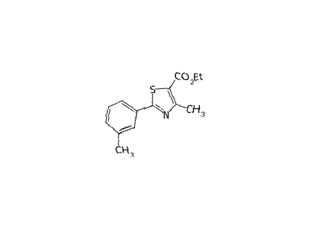 CCOC(=O)c1sc(-c2cccc(C)c2)nc1C